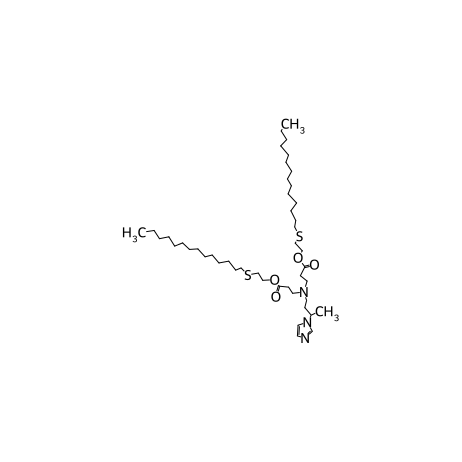 CCCCCCCCCCCCCCSCCOC(=O)CCN(CCC(=O)OCCSCCCCCCCCCCCCCC)CCC(C)n1ccnc1